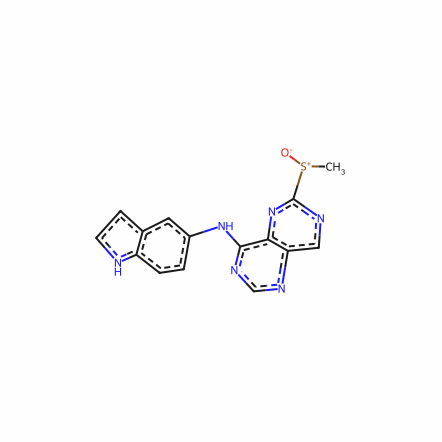 C[S+]([O-])c1ncc2ncnc(Nc3ccc4[nH]ccc4c3)c2n1